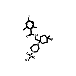 CCCS(=O)(=O)N1CCN(C2(CNC(=O)c3c(C)cc(Cl)cc3C)CCC(F)(F)CC2)CC1